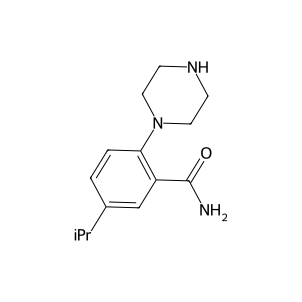 CC(C)c1ccc(N2CCNCC2)c(C(N)=O)c1